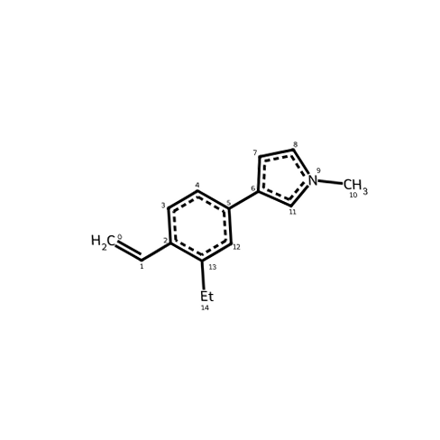 C=Cc1ccc(-c2ccn(C)c2)cc1CC